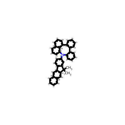 CC1(C)c2cc(N3c4ccccc4-c4ccccc4-c4cccc5cccc3c45)ccc2-c2cc3ccccc3cc21